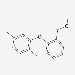 CO[CH]c1ccccc1Oc1cc(C)ccc1C